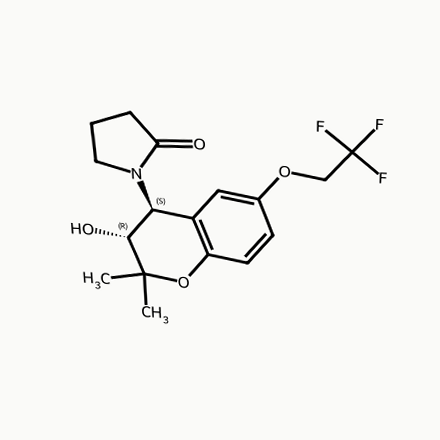 CC1(C)Oc2ccc(OCC(F)(F)F)cc2[C@H](N2CCCC2=O)[C@H]1O